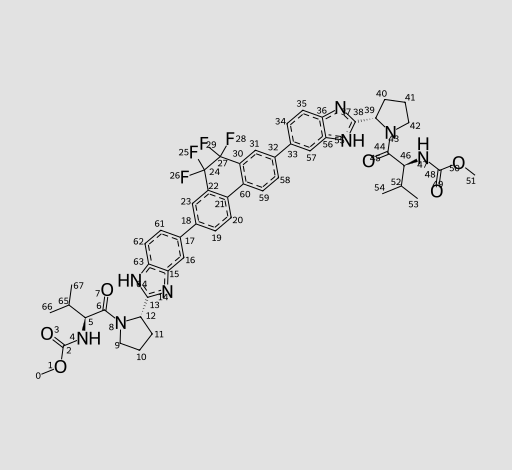 COC(=O)N[C@H](C(=O)N1CCC[C@H]1c1nc2cc(-c3ccc4c(c3)C(F)(F)C(F)(F)c3cc(-c5ccc6nc([C@@H]7CCCN7C(=O)[C@@H](NC(=O)OC)C(C)C)[nH]c6c5)ccc3-4)ccc2[nH]1)C(C)C